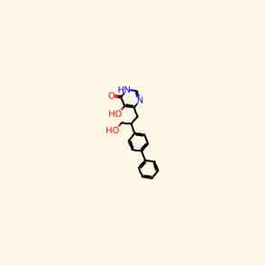 O=c1[nH]cnc(CC(CO)c2ccc(-c3ccccc3)cc2)c1O